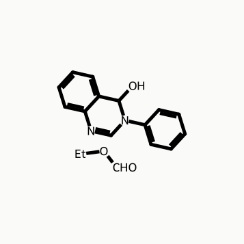 CCOC=O.OC1c2ccccc2N=CN1c1ccccc1